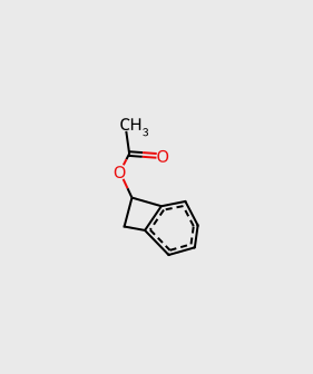 CC(=O)OC1Cc2ccccc21